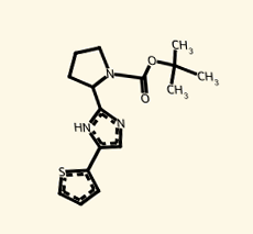 CC(C)(C)OC(=O)N1CCCC1c1ncc(-c2cccs2)[nH]1